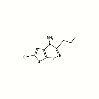 CCCC1=NSc2sc(Cl)cc2N1N